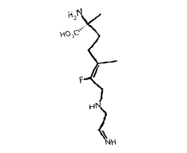 C/C(CC[C@](C)(N)C(=O)O)=C(/F)CNCC=N